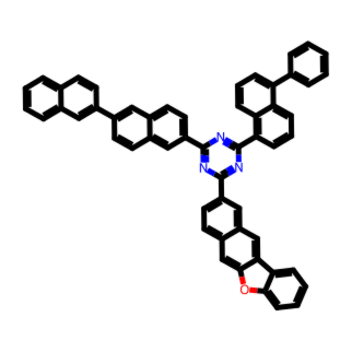 c1ccc(-c2cccc3c(-c4nc(-c5ccc6cc(-c7ccc8ccccc8c7)ccc6c5)nc(-c5ccc6cc7oc8ccccc8c7cc6c5)n4)cccc23)cc1